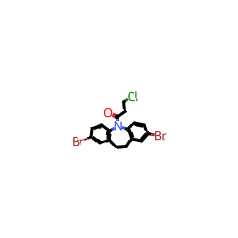 O=C(CCCl)N1c2ccc(Br)cc2CCc2cc(Br)ccc21